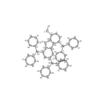 COc1ccc(N(c2ccccc2)c2ccccc2)c2c1sc1c(N(c3ccccc3)c3ccccc3)cc(N(c3ccccc3)c3ccccc3)cc12